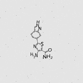 NC(=O)c1sc(-c2ccc3c[nH]nc3c2)nc1N